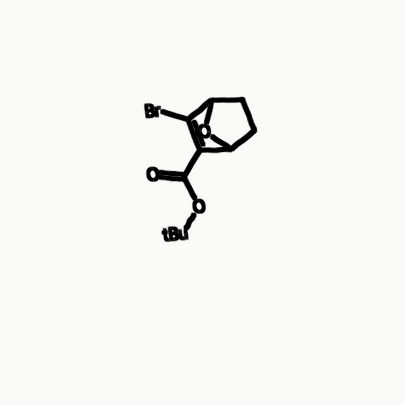 CC(C)(C)OC(=O)C1=C(Br)C2CCC1O2